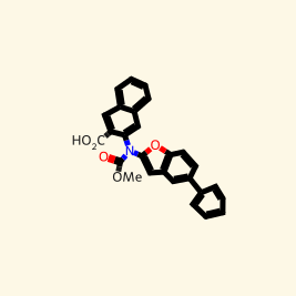 COC(=O)N(c1cc2cc(-c3ccccc3)ccc2o1)c1cc2ccccc2cc1C(=O)O